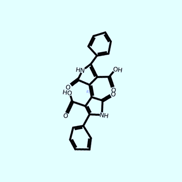 O=C(O)C1=C(c2ccccc2)NC(=O)/C1=C1/C(=O)NC(c2ccccc2)=C1C(=O)O